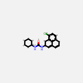 O=C(NC1C=C2C=CCc3ccc(Cl)c(c32)C1)NC1CCCCC1